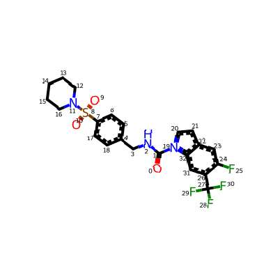 O=C(NCc1ccc(S(=O)(=O)N2CCCCC2)cc1)n1ccc2cc(F)c(C(F)(F)F)cc21